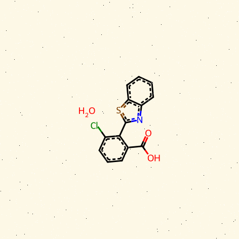 O.O=C(O)c1cccc(Cl)c1-c1nc2ccccc2s1